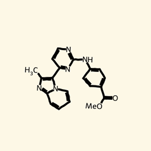 COC(=O)c1ccc(Nc2nccc(-c3c(C)nc4ccccn34)n2)cc1